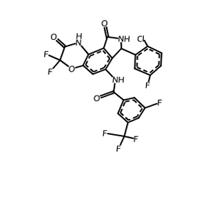 O=C(Nc1cc2c(c3c1C(c1cc(F)ccc1Cl)NC3=O)NC(=O)C(F)(F)O2)c1cc(F)cc(C(F)(F)F)c1